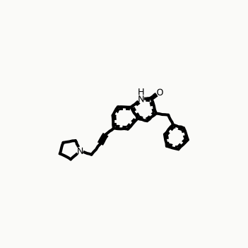 O=c1[nH]c2ccc(C#CCN3CCCC3)cc2cc1Cc1ccccc1